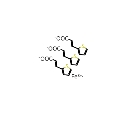 O=C([O-])C=Cc1cccs1.O=C([O-])C=Cc1cccs1.O=C([O-])C=Cc1cccs1.[Fe+3]